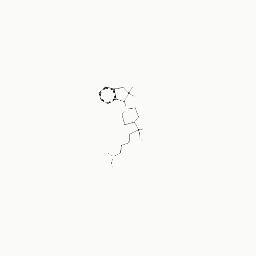 CC1(C)Cc2ccccc2C1N1CCC(C(N)(CCCCB(O)O)C(=O)O)CC1